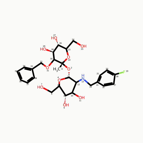 C[C@]1(O[C@H]2OC(CO)[C@@H](O)C(O)C2NCc2ccc(F)cc2)OC(CO)[C@@H](O)[C@H](O)C1OCc1ccccc1